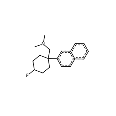 CN(C)CC1(c2ccc3ccccc3c2)CCC(F)CC1